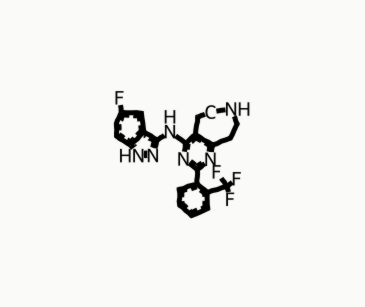 Fc1ccc2[nH]nc(Nc3nc(-c4ccccc4C(F)(F)F)nc4c3CCNCC4)c2c1